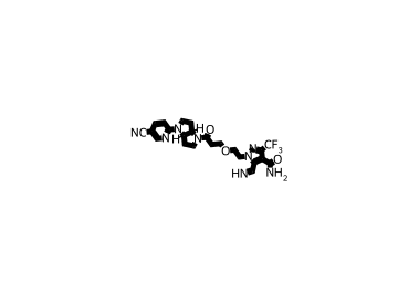 N#Cc1ccc(N2CC[C@@H]3[C@H]2CCN3C(=O)CCOCCn2nc(C(F)(F)F)c(C(N)=O)c2C=N)nc1